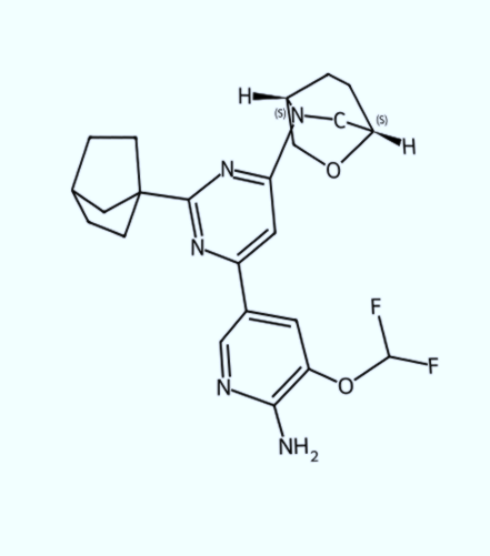 Nc1ncc(-c2cc(N3C[C@@H]4CC[C@H]3CO4)nc(C34CCC(CC3)C4)n2)cc1OC(F)F